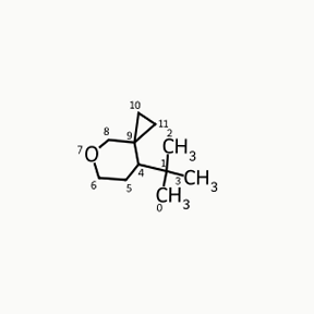 CC(C)(C)C1CCOCC12CC2